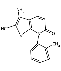 Cc1ccccc1-n1c(=O)ccc2c(N)c(C#N)sc21